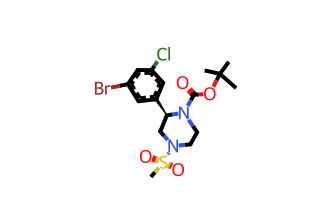 CC(C)(C)OC(=O)N1CCN(S(C)(=O)=O)C[C@H]1c1cc(Cl)cc(Br)c1